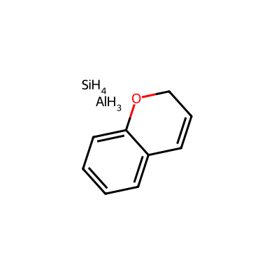 C1=Cc2ccccc2OC1.[AlH3].[SiH4]